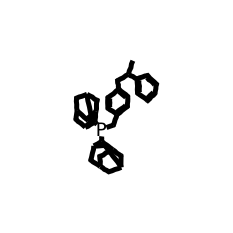 CC(Cc1ccc(CP(C2C3CC4CC(C3)CC2C4)C2C3CC4CC(C3)CC2C4)cc1)c1ccccc1